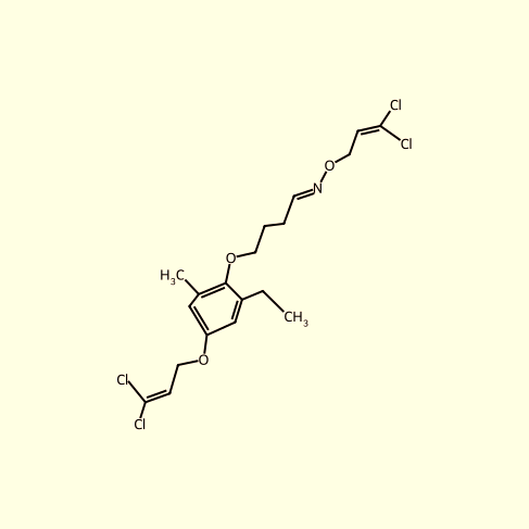 CCc1cc(OCC=C(Cl)Cl)cc(C)c1OCCC/C=N/OCC=C(Cl)Cl